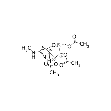 CNC1=N[C@@H]2C(O[C@H](COC(C)=O)[C@@H](OC(C)=O)[C@@H]2OC(C)=O)S1